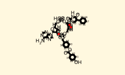 Nc1ncnc2c1ncn2[C@@H]1O[C@@H]2COP(=O)(O)O[C@@H]3[C@H](F)[C@@H](COP(=O)(SCc4ccc(OC(=O)c5ccc(O)cc5)cc4)O[C@@H]1[C@@H]2F)O[C@H]3n1cc(-c2ccccc2)c(=O)[nH]c1=O